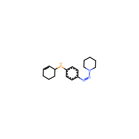 C1=CC(Pc2ccc(/N=N\N3CCCCC3)cc2)CCC1